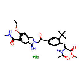 Br.CCOc1cc2c(cc1C(=O)NC)C(=N)N(CC(=O)c1ccc(C=C(NC(C)=O)C(=O)OC)c(C(C)(C)C)c1)C2